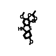 COc1ccc2c(c1)Sc1c(cc(OC)c(OC(C)=O)c1Br)N2